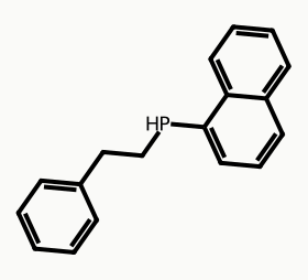 c1ccc(CCPc2cccc3ccccc23)cc1